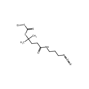 CCSC(=S)SC(C)(C)CCC(=O)NCCCN=[N+]=[N-]